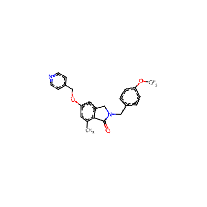 Cc1cc(OCc2ccncc2)cc2c1C(=O)N(Cc1ccc(OC(F)(F)F)cc1)C2